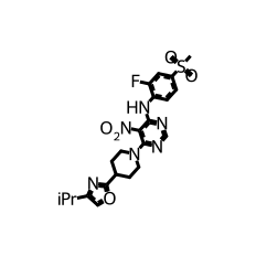 CC(C)c1coc(C2CCN(c3ncnc(Nc4ccc(S(C)(=O)=O)cc4F)c3[N+](=O)[O-])CC2)n1